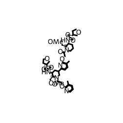 COC[C@H]1C(NS(=O)(=O)C2CCOC2)CCCN1C(=O)COc1nc(C2CC(NS(=O)(=O)[C@H]3CCOC3)[C@H](COC)N(C(=O)COc3ncccc3C)C2)ccc1C